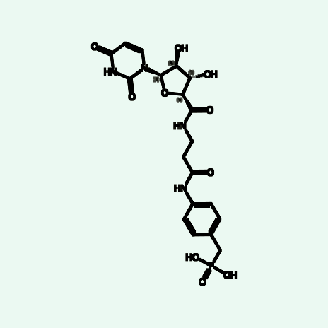 O=C(CCNC(=O)[C@H]1O[C@@H](n2ccc(=O)[nH]c2=O)[C@@H](O)[C@@H]1O)Nc1ccc(CP(=O)(O)O)cc1